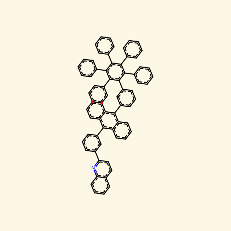 c1ccc(-c2c(-c3ccccc3)c(-c3ccccc3)c(-c3cccc(-c4c5ccccc5c(-c5cccc(-c6ccc7ccccc7n6)c5)c5ccccc45)c3)c(-c3ccccc3)c2-c2ccccc2)cc1